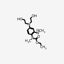 CCOC(=O)N(C)c1ccc(N(CCO)CCO)cc1NC